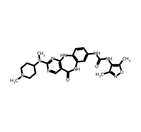 Cc1noc(C)c1NC(=O)Nc1ccc2c(c1)NC(=O)c1cnc(N(C)C3CCN(C)CC3)nc1N2